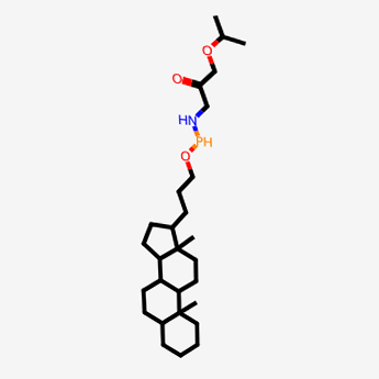 CC(C)OCC(=O)CNPOCCCC1CCC2C3CCC4CCCCC4(C)C3CCC12C